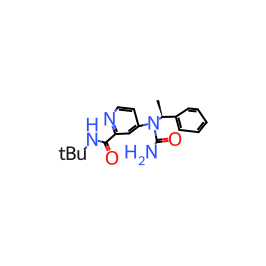 C[C@@H](c1ccccc1)N(C(N)=O)c1ccnc(C(=O)NC(C)(C)C)c1